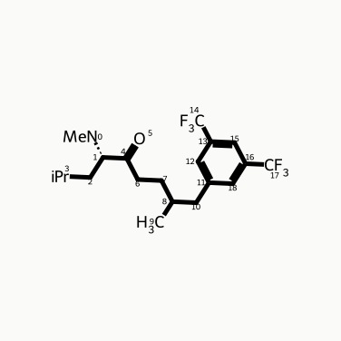 CN[C@@H](CC(C)C)C(=O)CCC(C)Cc1cc(C(F)(F)F)cc(C(F)(F)F)c1